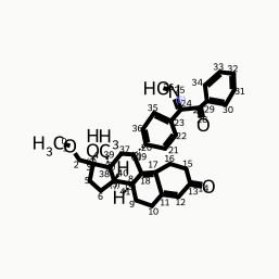 COC[C@]1(O)CC[C@H]2[C@@H]3CCC4=CC(=O)CCC4=C3[C@@H](c3ccc(/C(=N\O)C(=O)c4ccccc4)cc3)C[C@@]21C